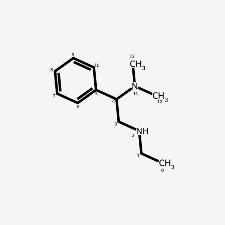 CCNCC(c1ccccc1)N(C)C